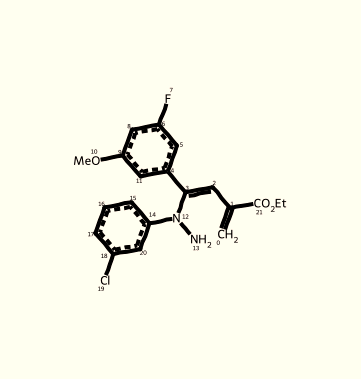 C=C(/C=C(/c1cc(F)cc(OC)c1)N(N)c1cccc(Cl)c1)C(=O)OCC